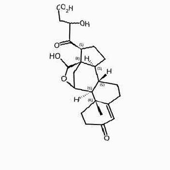 C[C@]12CCC(=O)C=C1CC[C@H]1[C@@H]3CC[C@H](C(=O)C(O)CC(=O)O)[C@@]34CC(OC4O)[C@@H]12